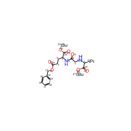 CC(C)C(NCC(=O)NC(CCC(=O)OCc1ccccc1)C(=O)OC(C)(C)C)C(=O)OC(C)(C)C